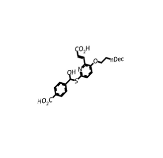 CCCCCCCCCCCCOc1ccc(SC(O)c2ccc(C(=O)O)cc2)nc1C=CC(=O)O